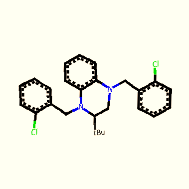 CC(C)(C)C1CN(Cc2ccccc2Cl)c2ccccc2N1Cc1ccccc1Cl